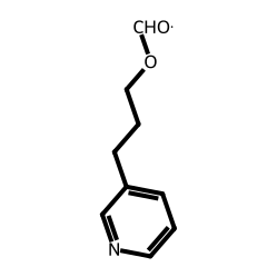 O=[C]OCCCc1cccnc1